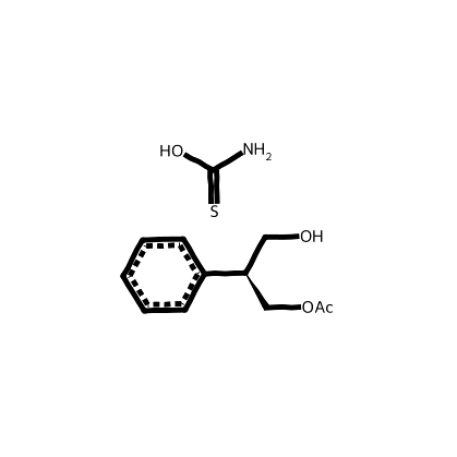 CC(=O)OC[C@H](CO)c1ccccc1.NC(O)=S